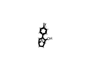 CN1C2CCC1C(O)C(c1ccc(Br)cc1)C2